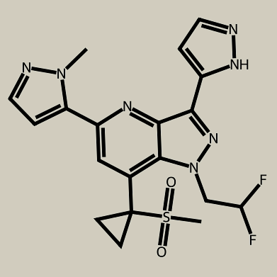 Cn1nccc1-c1cc(C2(S(C)(=O)=O)CC2)c2c(n1)c(-c1ccn[nH]1)nn2CC(F)F